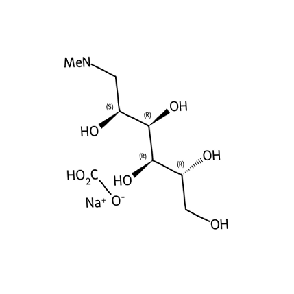 CNC[C@H](O)[C@@H](O)[C@H](O)[C@H](O)CO.O=C([O-])O.[Na+]